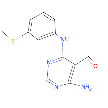 CSc1cccc(Nc2ncnc(N)c2C=O)c1